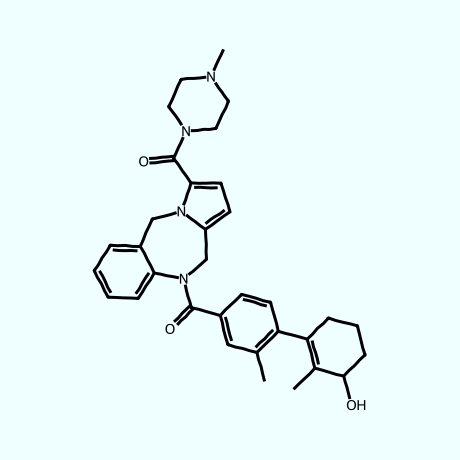 CC1=C(c2ccc(C(=O)N3Cc4ccc(C(=O)N5CCN(C)CC5)n4Cc4ccccc43)cc2C)CCCC1O